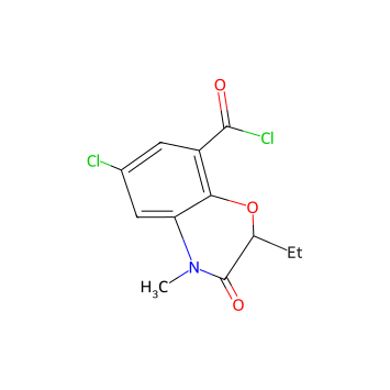 CCC1Oc2c(C(=O)Cl)cc(Cl)cc2N(C)C1=O